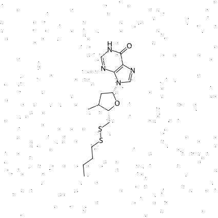 CCCCSSC[C@H]1O[C@@H](n2cnc3c(=O)[nH]cnc32)CC1C